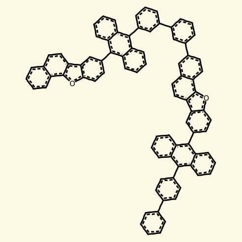 c1ccc(-c2ccc(-c3c4ccccc4c(-c4ccc5oc6c7ccc(-c8cccc(-c9cccc(-c%10c%11ccccc%11c(-c%11ccc%12oc%13c%14ccccc%14ccc%13c%12c%11)c%11ccccc%10%11)c9)c8)cc7ccc6c5c4)c4ccccc34)cc2)cc1